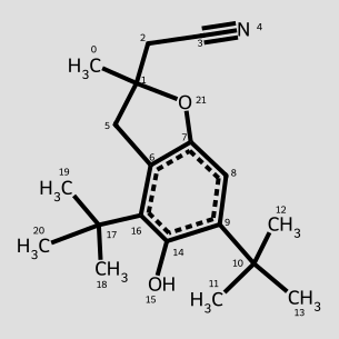 CC1(CC#N)Cc2c(cc(C(C)(C)C)c(O)c2C(C)(C)C)O1